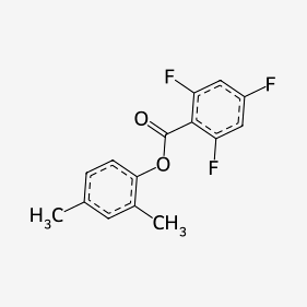 Cc1ccc(OC(=O)c2c(F)cc(F)cc2F)c(C)c1